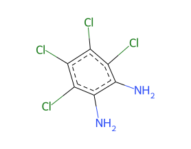 Nc1c(N)c(Cl)c(Cl)c(Cl)c1Cl